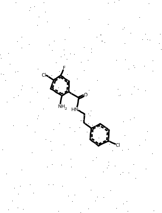 Nc1cc(Cl)c(F)cc1C(=O)NCCc1ccc(Cl)cc1